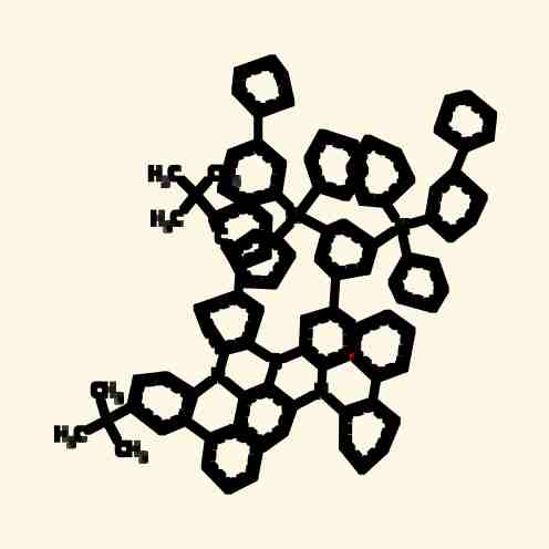 CC(C)(C)c1cccc(-c2ccc3c(c2)B2c4cc(-c5cc([Si](c6ccccc6)(c6ccccc6)c6cccc(-c7ccccc7)c6)cc([Si](c6ccccc6)(c6ccccc6)c6cccc(-c7ccccc7)c6)c5)ccc4N(c4ccccc4-c4ccccc4)c4cccc(c42)N3c2ccc(C(C)(C)C)cc2-c2ccccc2)c1